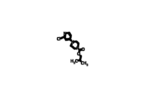 CC(C)COC(=O)N1CCN(c2ccnc(Cl)c2)CC1